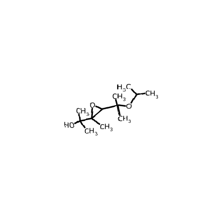 CC(C)OC(C)(C)C1OC1(C)C(C)(C)O